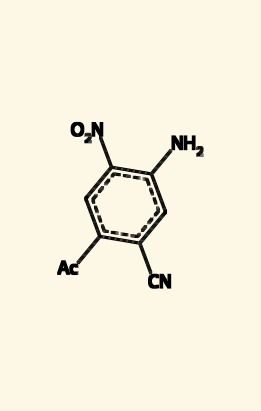 CC(=O)c1cc([N+](=O)[O-])c(N)cc1C#N